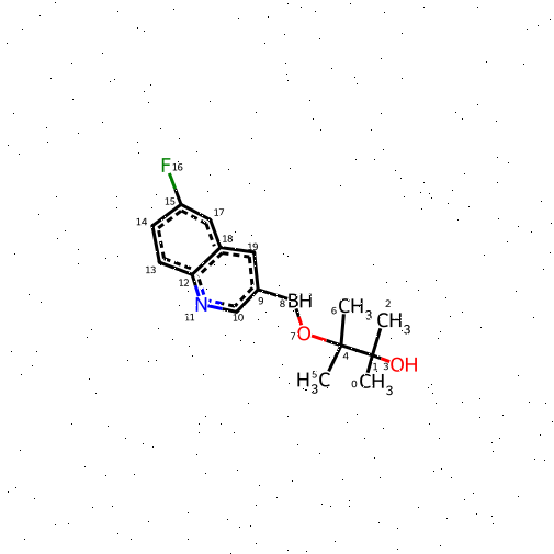 CC(C)(O)C(C)(C)OBc1cnc2ccc(F)cc2c1